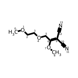 COCCOCC(OC)=C(C#N)C#N